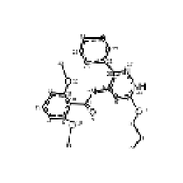 CCCOc1cc(=NC(=O)c2c(OC)cccc2OC)c(-c2ccccc2)n[nH]1